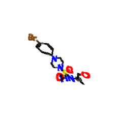 C[C@H](C=O)NS(=O)(=O)N1CCN(c2ccc(Br)cc2)CC1